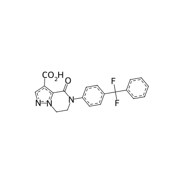 O=C(O)c1cnn2c1C(=O)N(c1ccc(C(F)(F)c3ccccc3)cc1)CC2